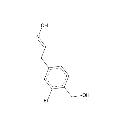 CCc1cc(C/C=N/O)ccc1CO